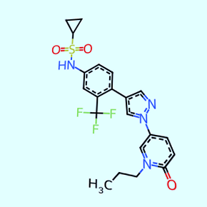 CCCn1cc(-n2cc(-c3ccc(NS(=O)(=O)C4CC4)cc3C(F)(F)F)cn2)ccc1=O